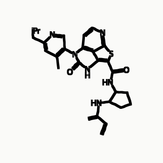 C=CC(=C)NC1CCCC1NC(=O)c1sc2nccc3c2c1NC(=O)N3c1cnc(CC(C)C)cc1C